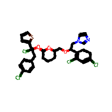 Clc1ccc(CC(Cl)(OC2CCCC(COC(Cn3ccnc3)c3ccc(Cl)cc3Cl)O2)c2cccs2)cc1